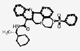 C[C@H](NC(=O)c1c(CN2CCN(S(=O)(=O)c3ccccc3)CC2)c(-c2ccccc2)nc2ccccc12)C1CCCCC1